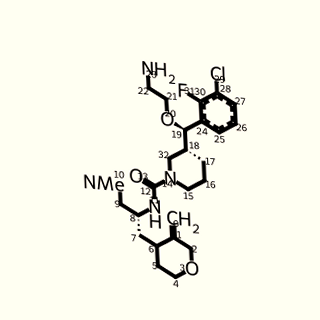 C=C1COCCC1C[C@H](CNC)NC(=O)N1CCC[C@@H]([C@@H](OCCN)c2cccc(Cl)c2F)C1